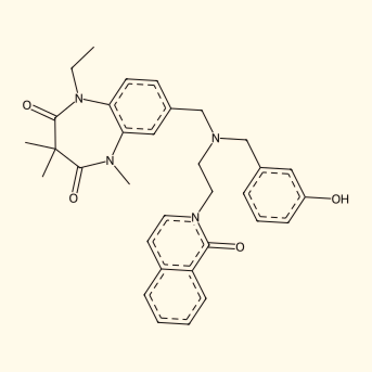 CCN1C(=O)C(C)(C)C(=O)N(C)c2cc(CN(CCn3ccc4ccccc4c3=O)Cc3cccc(O)c3)ccc21